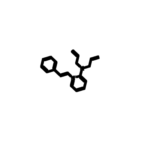 C=CCN(CC=C)c1cccc[n+]1C=Cc1ccccc1